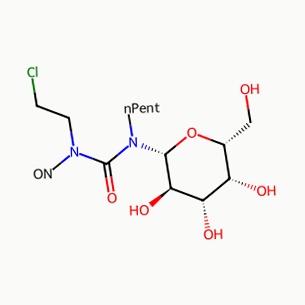 CCCCCN(C(=O)N(CCCl)N=O)[C@@H]1O[C@H](CO)[C@H](O)[C@H](O)[C@H]1O